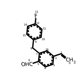 C=Cc1ccc(C=O)c(Cc2ccc(F)cc2)c1